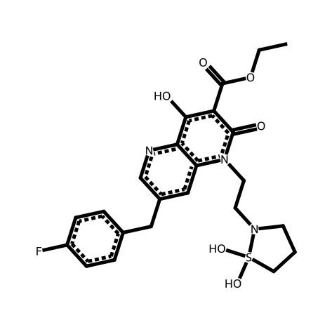 CCOC(=O)c1c(O)c2ncc(Cc3ccc(F)cc3)cc2n(CCN2CCCS2(O)O)c1=O